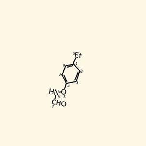 CCc1ccc(ONC=O)cc1